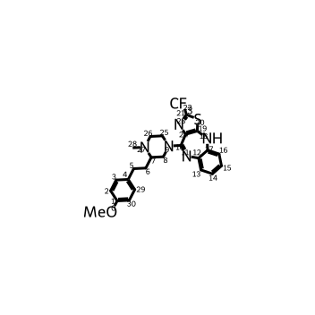 COc1ccc(CCC2CN(C3=Nc4ccccc4Nc4sc(C(F)(F)F)nc43)CCN2C)cc1